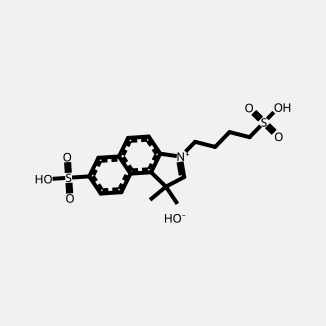 CC1(C)C=[N+](CCCCS(=O)(=O)O)c2ccc3cc(S(=O)(=O)O)ccc3c21.[OH-]